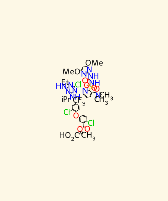 CCNc1nc(Cl)nc(NC(C)C)n1.COc1cc(OC)nc(NC(=O)NS(=O)(=O)c2ncccc2C(=O)N(C)C)n1.C[C@H](OC(=O)c1cc(Oc2ccc(C(F)(F)F)cc2Cl)ccc1Cl)C(=O)O